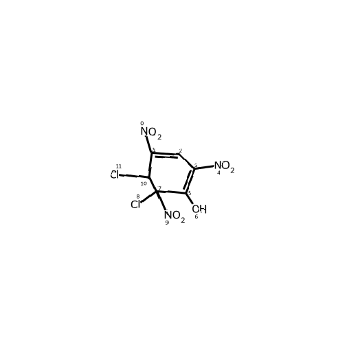 O=[N+]([O-])C1=CC([N+](=O)[O-])=C(O)C(Cl)([N+](=O)[O-])C1Cl